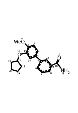 COc1ccc(-c2cccc(C(N)=O)c2)cc1OC1CCCC1